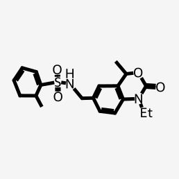 CCN1C(=O)OC(C)c2cc(CNS(=O)(=O)C3=CC=CCC3C)ccc21